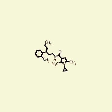 C=C/C=C(/CCNC(=O)c1cc(C)n(C2CC2)c1C)c1ccccc1C